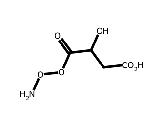 NOOC(=O)C(O)CC(=O)O